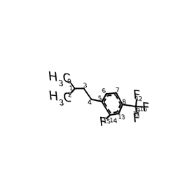 CC(C)CCc1ccc(C(F)(F)F)cc1F